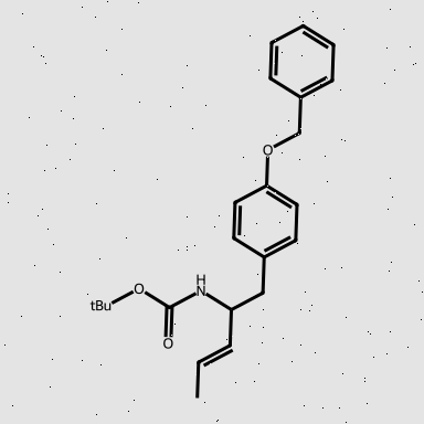 C/C=C/C(Cc1ccc(OCc2ccccc2)cc1)NC(=O)OC(C)(C)C